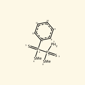 CSP(P)(=S)P(=S)(SC)c1ccccc1